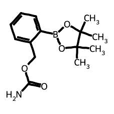 CC1(C)OB(c2ccccc2COC(N)=O)OC1(C)C